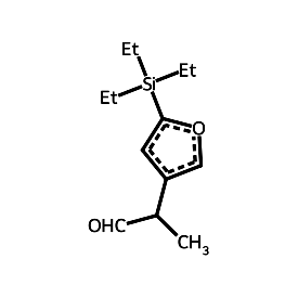 CC[Si](CC)(CC)c1cc(C(C)C=O)co1